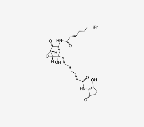 CC(C)C/C=C/C=C/C(=O)NC1=C[C@@](O)(/C=C/C=C/C=C/C(=O)NC2=C(O)CCC2=O)[C@@H]2O[C@@H]2C1=O